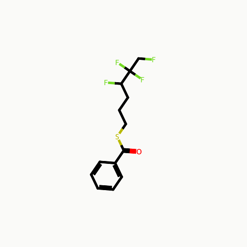 O=C(SCCCC(F)C(F)(F)CF)c1ccccc1